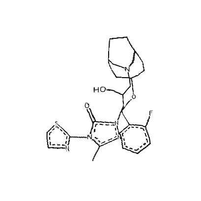 Cc1nn(CC(O)CN2C3CCC2CC(OCc2ccccc2F)C3)c(=O)n1-c1nccs1